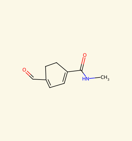 CNC(=O)C1=CC=C(C=O)CC1